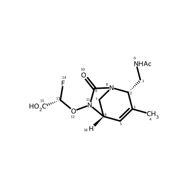 CC(=O)NC[C@@H]1C(C)=C[C@H]2CN1C(=O)N2O[C@@H](F)C(=O)O